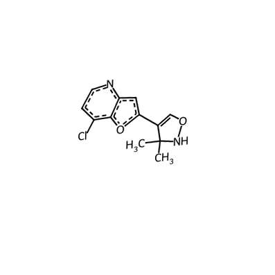 CC1(C)NOC=C1c1cc2nccc(Cl)c2o1